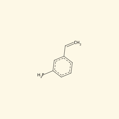 C=Cc1cccc(P)c1